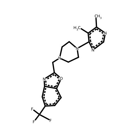 Cc1ncnc(N2CCN(Cc3nc4cc(C(F)(F)F)ccc4o3)CC2)c1C